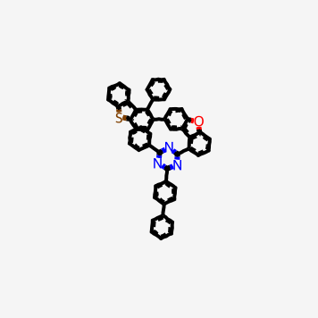 c1ccc(-c2ccc(-c3nc(-c4ccccc4)nc(-c4cccc5oc6ccc(-c7ccc8sc9ccccc9c8c7-c7ccccc7)cc6c45)n3)cc2)cc1